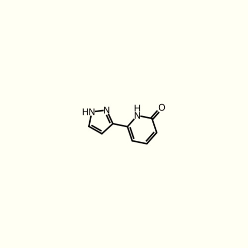 O=c1cccc(-c2cc[nH]n2)[nH]1